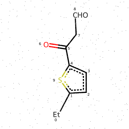 CCc1ccc(C(=O)CC=O)s1